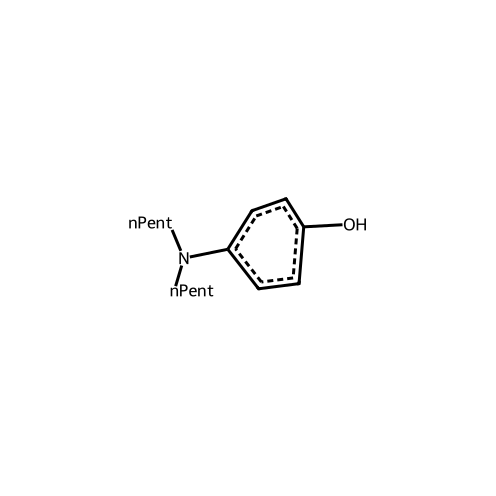 CCCCCN(CCCCC)c1ccc(O)cc1